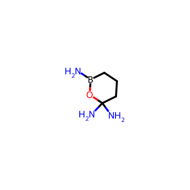 NB1CCCC(N)(N)O1